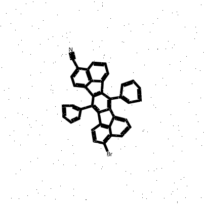 N#Cc1ccc2c3c(-c4ccccc4)c4c5ccc(Br)c6cccc(c4c(-c4ccccc4)c3c3cccc1c32)c65